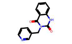 O=c1[nH]c2ccccc2c(=O)n1Cc1cccnc1